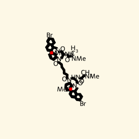 CNC(C)C(=O)NC1CN(C(=O)CCCCCC(=O)N2CC(NC(=O)C(C)NC)C(=O)N(Cc3c(OC)ccc4cc(Br)ccc34)c3ccccc32)c2ccccc2N(Cc2c(OC)ccc3cc(Br)ccc23)C1=O